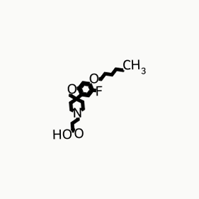 CCCCCCOc1cc2c(cc1F)C1(CCN(CCC(=O)O)CC1)CO2